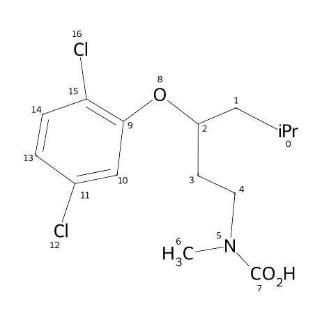 CC(C)CC(CCN(C)C(=O)O)Oc1cc(Cl)ccc1Cl